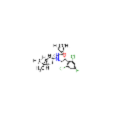 CC[Si](CC)(CC)OC(CNC1C[C@@H]2[C@H](C1)C2(C)C)c1c(Cl)cc(F)cc1Cl